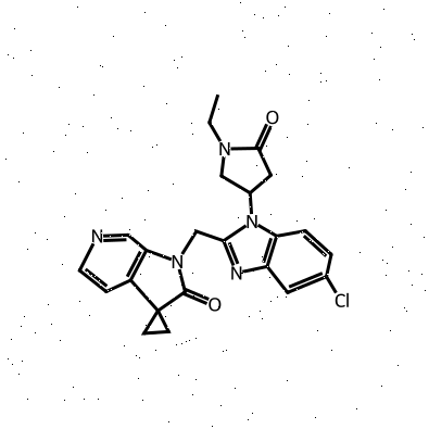 CCN1CC(n2c(CN3C(=O)C4(CC4)c4ccncc43)nc3cc(Cl)ccc32)CC1=O